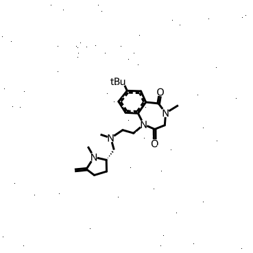 C=C1CC[C@@H](CN(C)CCN2C(=O)CN(C)C(=O)c3cc(C(C)(C)C)ccc32)N1C